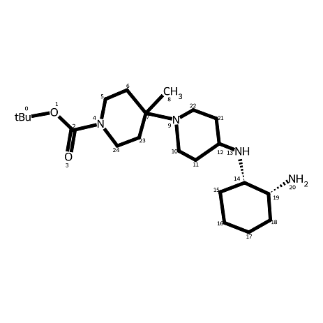 CC(C)(C)OC(=O)N1CCC(C)(N2CCC(N[C@H]3CCCC[C@H]3N)CC2)CC1